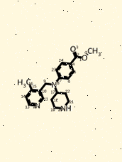 COC(=O)c1ccc(N(Cc2cnccc2C)C2CCNCC2)cc1